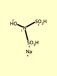 O=S(=O)(O)N(O)S(=O)(=O)O.[Na]